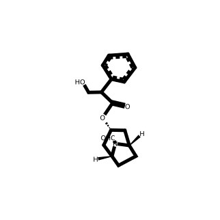 O=CN1[C@@H]2CC[C@H]1C[C@@H](OC(=O)C(CO)c1ccccc1)C2